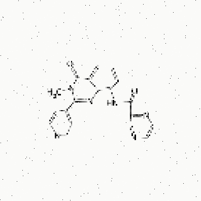 Cn1c(-c2ccncc2)nc2c(NC(=O)c3cnccn3)cccc2c1=O